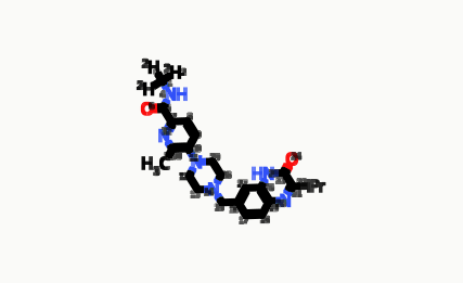 [2H]C([2H])([2H])NC(=O)c1ccc(N2CCN(Cc3ccc4nc(C(C)C)c(=O)[nH]c4c3)CC2)c(C)n1